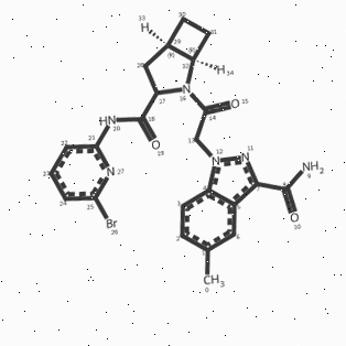 Cc1ccc2c(c1)c(C(N)=O)nn2CC(=O)N1C(C(=O)Nc2cccc(Br)n2)C[C@H]2CC[C@H]21